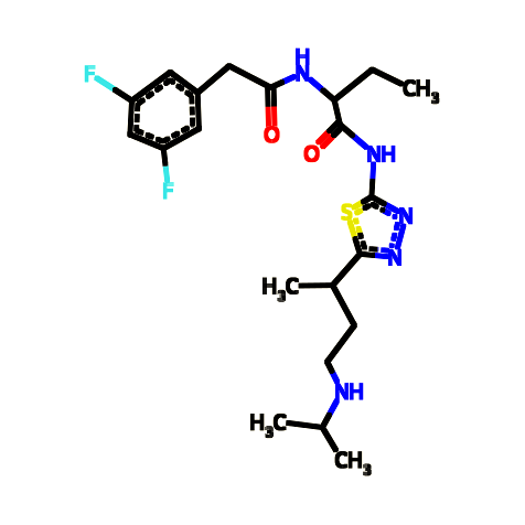 CCC(NC(=O)Cc1cc(F)cc(F)c1)C(=O)Nc1nnc(C(C)CCNC(C)C)s1